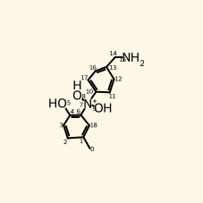 Cc1ccc(O)c([N+](O)(O)c2ccc(CN)cc2)c1